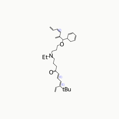 C=C/C=C\C(=C)C(OCCCN(CC)CCCC(=O)/C=C/C=C(\C=C)C(C)(C)C)C1C=CC=CC1